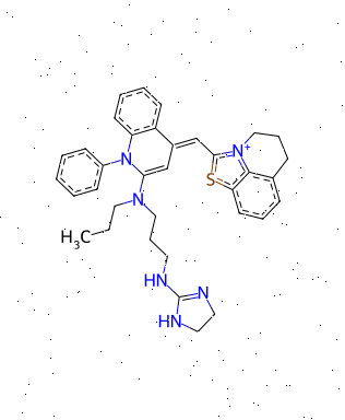 CCCN(CCCNC1=NCCN1)C1=C/C(=C\c2sc3cccc4c3[n+]2CCC4)c2ccccc2N1c1ccccc1